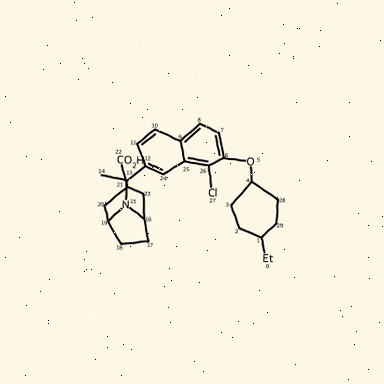 CCC1CCC(Oc2ccc3ccc(C(C)N4C5CCC4CC(C(=O)O)C5)cc3c2Cl)CC1